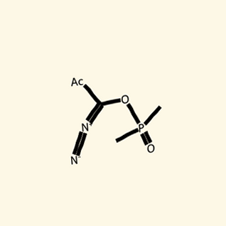 CC(=O)C(=[N+]=[N-])OP(C)(C)=O